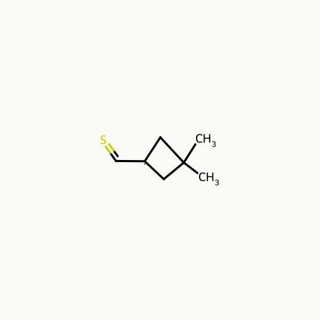 CC1(C)C[C](C=S)C1